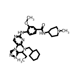 CCC1c2nncn2-c2cnc(Nc3ccc(C(=O)NC4CCN(C)CC4)cc3OC)nc2N1CC1CCCCC1